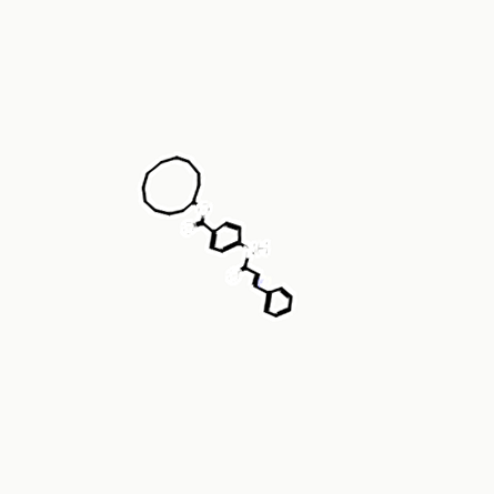 O=C(/C=C/c1ccccc1)Nc1ccc(C(=O)OC2CCCCCCCCCCC2)cc1